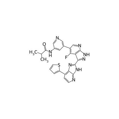 CC(C)C(=O)Nc1cncc(-c2cnc3[nH]nc(-c4nc5c(-c6cccs6)ccnc5[nH]4)c3c2F)c1